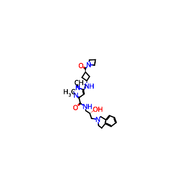 C=N/C(=C\C(=N/C)C(=O)NC[C@H](O)CN1CCc2ccccc2C1)N[C@H]1C[C@H](C(=O)N2CCC2)C1